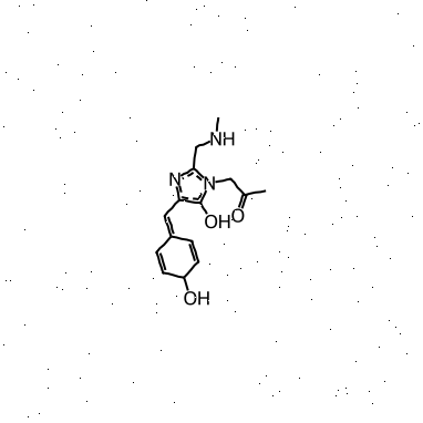 CNCc1nc(C=C2C=CC(O)C=C2)c(O)n1CC(C)=O